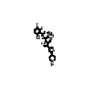 CC(Oc1c(N)ncc2c(-c3cnn(C4CCNCC4)c3)coc12)c1c(Cl)ccc(F)c1Cl